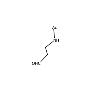 CC(=O)NCCC=O